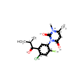 CC[C@H](C(=O)O)C(=O)c1cc(-n2c(=O)cc(C(F)(F)F)n(C)c2=O)c(F)cc1Cl